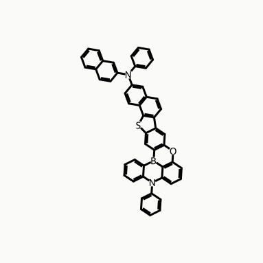 c1ccc(N(c2ccc3ccccc3c2)c2ccc3c(ccc4c5cc6c(cc5sc34)B3c4ccccc4N(c4ccccc4)c4cccc(c43)O6)c2)cc1